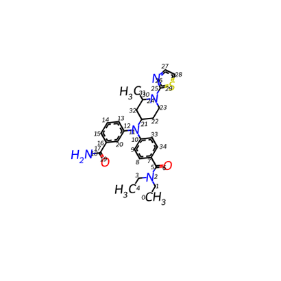 CCN(CC)C(=O)c1ccc(N(c2cccc(C(N)=O)c2)C2CCN(c3nccs3)C(C)C2)cc1